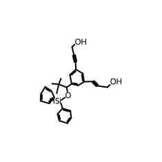 CC(C)(C)C(O[SiH](c1ccccc1)c1ccccc1)c1cc(C#CCO)cc(C#CCO)c1